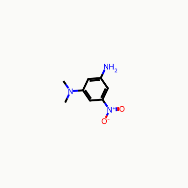 CN(C)c1cc(N)cc([N+](=O)[O-])c1